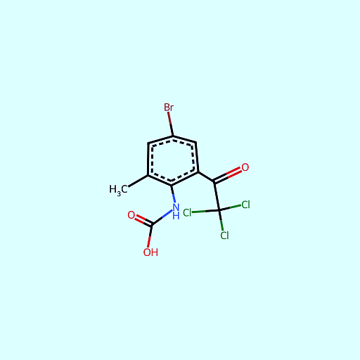 Cc1cc(Br)cc(C(=O)C(Cl)(Cl)Cl)c1NC(=O)O